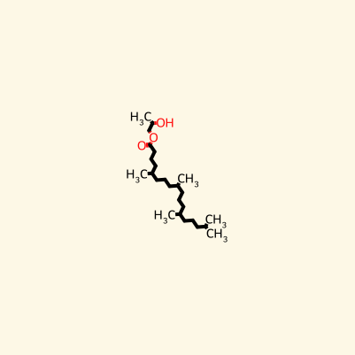 CC(C)CCCC(C)CCCC(C)CCCC(C)CCCC(=O)OCC(C)O